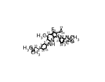 CC1=C=C(Nc2ccc(CCN(C)C)cc2)N=c2c(c(F)c(C3CC3)n2-c2cccc(N=S(C)(C)=O)n2)=C1